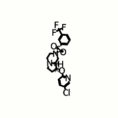 O=S(=O)(c1cccc(C(F)(F)F)c1)N1CCN2CC[C@@H](Oc3ccc(Cl)cn3)[C@@H]2C1